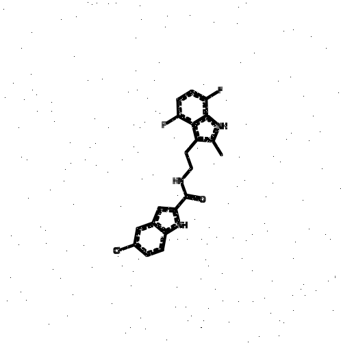 Cc1[nH]c2c(F)ccc(F)c2c1CCNC(=O)c1cc2cc(Cl)ccc2[nH]1